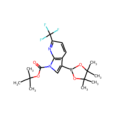 CC(C)(C)OC(=O)n1cc(B2OC(C)(C)C(C)(C)O2)c2ccc(C(F)(F)F)nc21